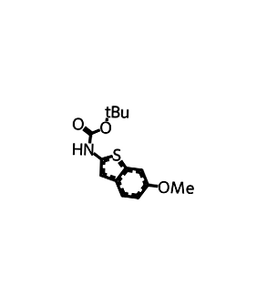 COc1ccc2cc(NC(=O)OC(C)(C)C)sc2c1